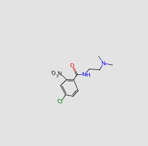 CN(C)CCNC(=O)c1ccc(Cl)cc1[N+](=O)[O-]